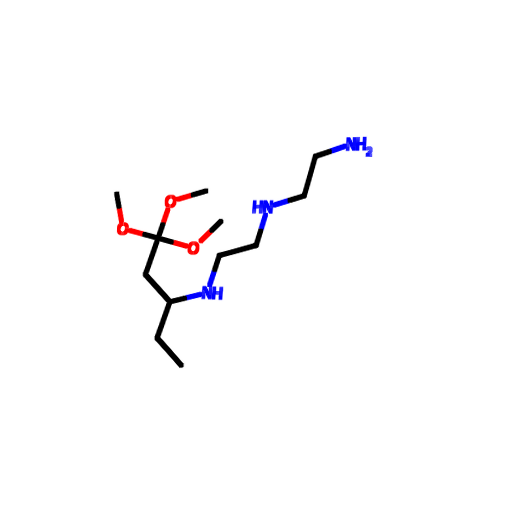 CCC(CC(OC)(OC)OC)NCCNCCN